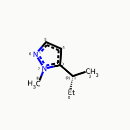 CC[C@@H](C)c1ccnn1C